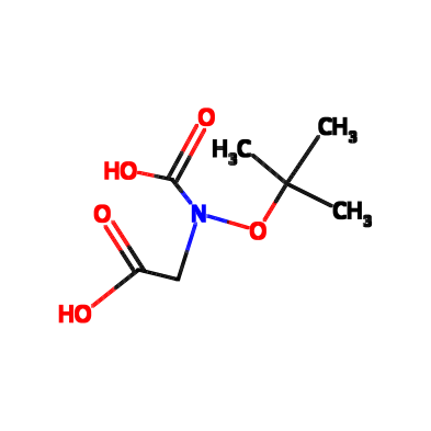 CC(C)(C)ON(CC(=O)O)C(=O)O